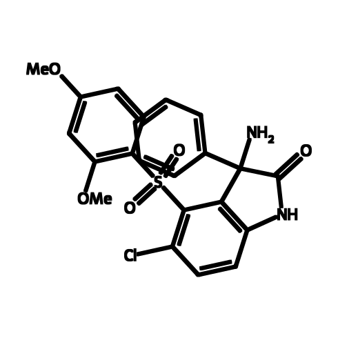 COc1ccc(S(=O)(=O)c2c(Cl)ccc3c2C(N)(c2ccccc2)C(=O)N3)c(OC)c1